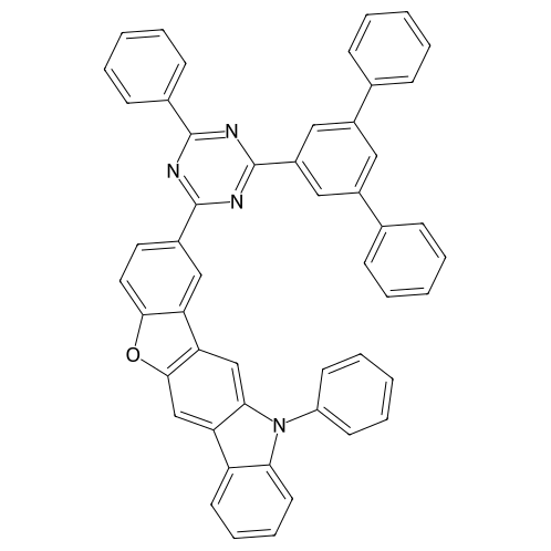 c1ccc(-c2cc(-c3ccccc3)cc(-c3nc(-c4ccccc4)nc(-c4ccc5oc6cc7c8ccccc8n(-c8ccccc8)c7cc6c5c4)n3)c2)cc1